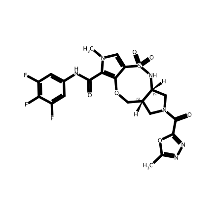 Cc1nnc(C(=O)N2C[C@@H]3COc4c(cn(C)c4C(=O)Nc4cc(F)c(F)c(F)c4)S(=O)(=O)N[C@@H]3C2)o1